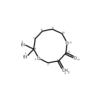 C=C1COC(CC)(CC)CCCCOC1=O